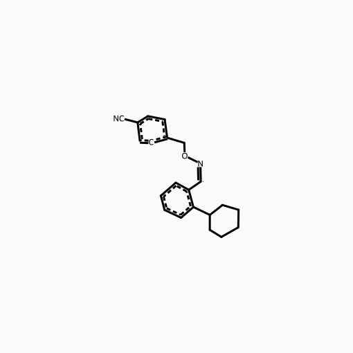 N#Cc1ccc(CO/N=[C]\c2ccccc2C2CCCCC2)cc1